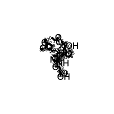 C=CC(=O)OCC(C)(C)C(O)C(=O)N1CCCC[C@H]1C(=O)O[C@H](CCc1ccc(OC)c(OC)c1)c1cncc(NC(=O)CCC(=O)O)n1